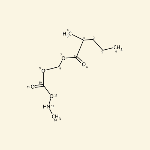 CCCC(C)C(=O)OCOC(=O)ONC